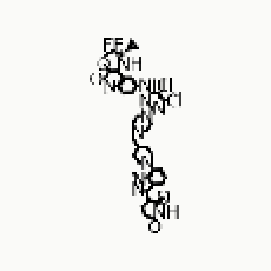 Cn1nc(C2CCC(=O)NC2=O)c2cccc(N3CCC(CN4CCN(c5nc(Cl)c(Cl)c(Nc6ccc7c(c6)c6c(c(=O)n7C)OCC(F)(F)[C@H](C7CC7)N6)n5)CC4)CC3)c21